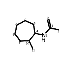 C=C(C)NC1CCCCCC1C